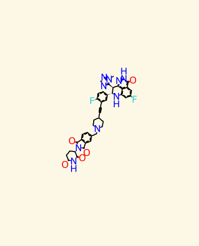 Cn1ncnc1[C@H]1c2n[nH]c(=O)c3cc(F)cc(c23)N[C@@H]1c1ccc(F)c(C#CC2CCN(Cc3ccc4c(c3)C(=O)N(C3CCC(=O)NC3=O)C4=O)CC2)c1